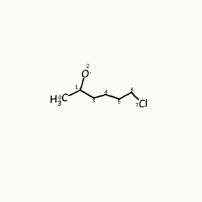 CC([O])CCCCCl